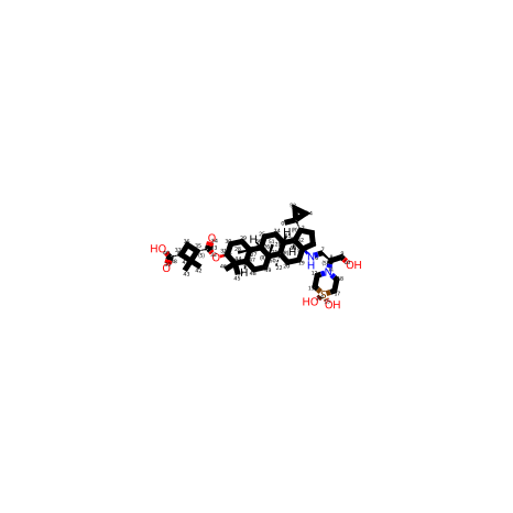 CC1([C@@H]2CC[C@]3(NC[C@@H](CO)N4CCS(O)(O)CC4)CC[C@]4(C)[C@H](CC[C@@H]5[C@@]6(C)CC[C@H](OC(=O)[C@H]7C[C@@H](C(=O)O)C7(C)C)C(C)(C)[C@@H]6CC[C@]54C)[C@@H]23)CC1